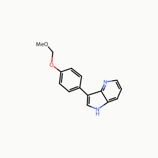 COCOc1ccc(-c2c[nH]c3cccnc23)cc1